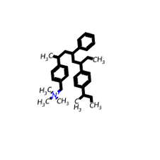 CCC(C)c1ccc(C(CC)CC(CC(C)c2ccc(C[N+](C)(C)C)cc2)c2ccccc2)cc1